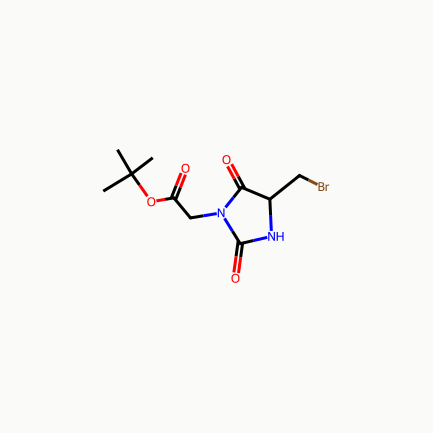 CC(C)(C)OC(=O)CN1C(=O)NC(CBr)C1=O